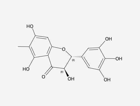 Cc1c(O)cc2c(c1O)C(=O)[C@H](O)[C@@H](c1cc(O)c(O)c(O)c1)O2